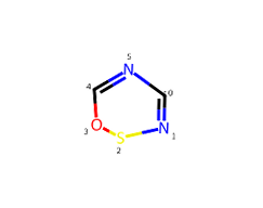 [C]1=NSOC=N1